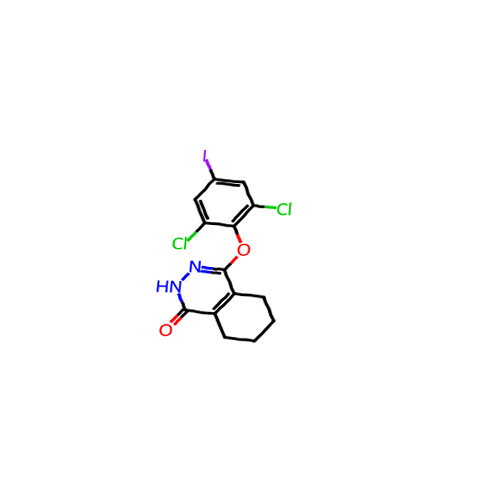 O=c1[nH]nc(Oc2c(Cl)cc(I)cc2Cl)c2c1CCCC2